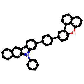 c1ccc(-n2c3cc(-c4ccc(-c5ccc6c(c5)-c5cccc7cccc(c57)O6)cc4)ccc3c3cc4ccccc4cc32)cc1